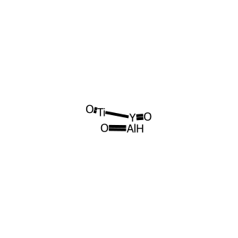 [O]=[AlH].[O]=[Ti][Y]=[O]